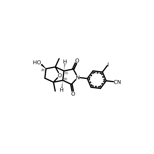 CC12C[C@@H](O)C(C)(O1)[C@H]1C(=O)N(c3ccc(C#N)c(I)c3)C(=O)[C@H]12